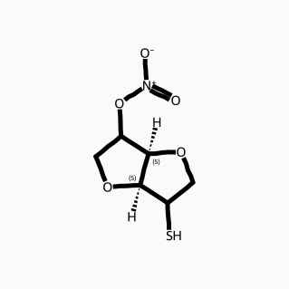 O=[N+]([O-])OC1CO[C@@H]2C(S)CO[C@H]12